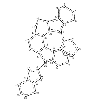 c1ccc(-n2c3ccccc3c3ccc4ccc5c(c6ccccc6n5-c5nc6ccccc6o5)c4c32)cc1